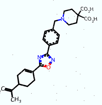 C=C(C)C1CC=C(c2nc(-c3ccc(CN4CCC(C(=O)O)(C(=O)O)CC4)cc3)no2)CC1